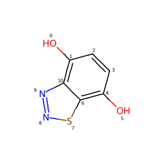 Oc1ccc(O)c2snnc12